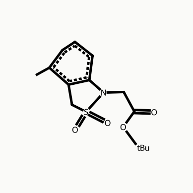 Cc1cccc2c1CS(=O)(=O)N2CC(=O)OC(C)(C)C